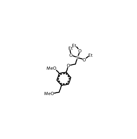 CCO[Si](COc1ccc(COC)cc1OC)(OCC)OCC